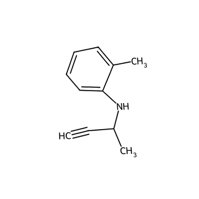 C#CC(C)Nc1ccccc1C